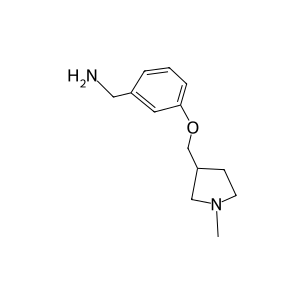 CN1CCC(COc2cccc(CN)c2)C1